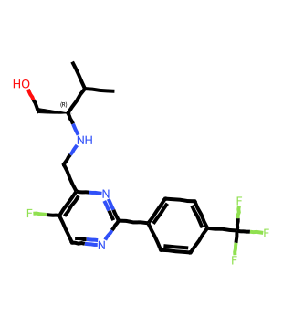 CC(C)[C@H](CO)NCc1nc(-c2ccc(C(F)(F)F)cc2)ncc1F